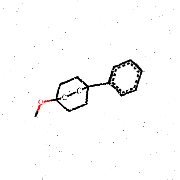 COC12CCC(c3cc[c]cc3)(CC1)CC2